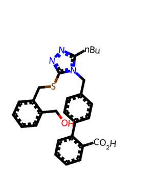 CCCCc1nnc(SCc2ccccc2CO)n1Cc1ccc(-c2ccccc2C(=O)O)cc1